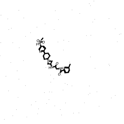 Cc1cccc(C(=O)NCC(=O)NC2CN(C3CCC(c4ccc(NS(C)(=O)=O)cn4)CC3)C2)c1